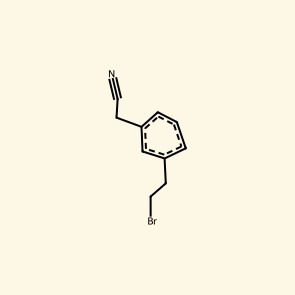 N#CCc1cccc(CCBr)c1